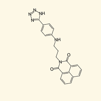 O=C1c2cccc3cccc(c23)C(=O)N1CCCNc1ccc(-c2nnn[nH]2)cc1